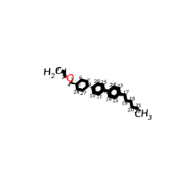 C=CCOC[C@H]1CC[C@H](c2ccc(-c3ccc(CCCCCC)cc3)cc2)CC1